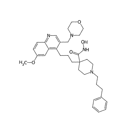 COc1ccc2ncc(CN3CCOCC3)c(CCCC3(C(=O)NO)CCN(CCCc4ccccc4)CC3)c2c1